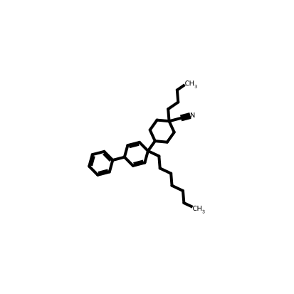 CCCCCCCC1(C2CCC(C#N)(CCCC)CC2)C=CC(c2ccccc2)C=C1